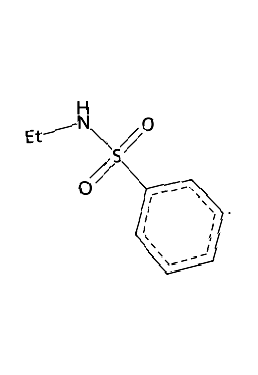 CCNS(=O)(=O)c1c[c]ccc1